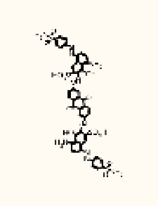 Nc1ccc(N=Nc2ccc(S(N)(=O)=O)cc2)c2cc(S(=O)(=O)O)c(N=Nc3ccc4c(c3)C(=O)c3ccc(N=Nc5c(S(=O)(=O)O)cc6c(N=Nc7ccc(S(N)(=O)=O)cc7)ccc(N)c6c5O)cc3C4=O)c(O)c12